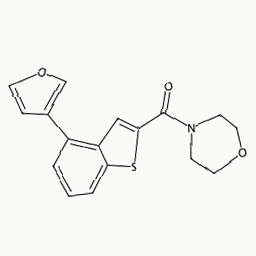 O=C(c1cc2c(-c3ccoc3)cccc2s1)N1CCOCC1